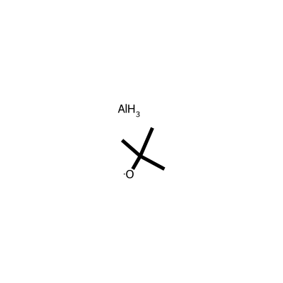 CC(C)(C)[O].[AlH3]